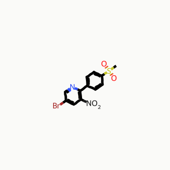 CS(=O)(=O)c1ccc(-c2ncc(Br)cc2[N+](=O)[O-])cc1